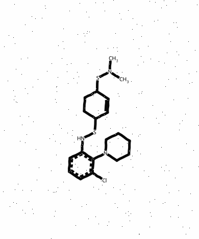 CN(C)SC1C=CC(SNc2cccc(Cl)c2N2CCCCC2)CC1